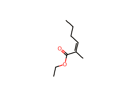 CCCC=C(C)C(=O)OCC